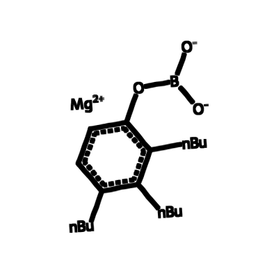 CCCCc1ccc(OB([O-])[O-])c(CCCC)c1CCCC.[Mg+2]